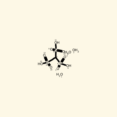 O.O.O.O=S(=O)(O)C(S(=O)(=O)O)S(=O)(=O)O